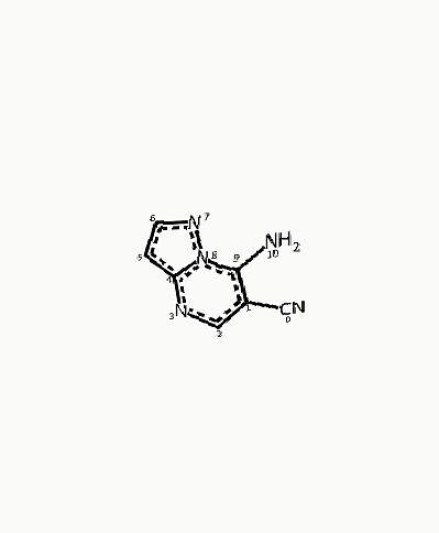 N#Cc1cnc2ccnn2c1N